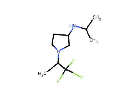 CC(C)NC1CCN(C(C)C(F)(F)F)C1